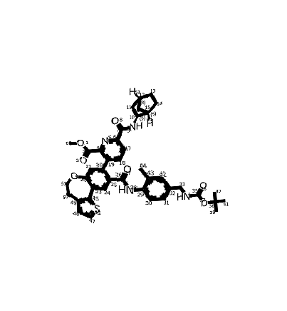 COC(=O)c1nc(C(=O)N[C@H]2C[C@@H]3CC[C@H]2C3)ccc1-c1cc2c(cc1C(=O)Nc1ccc(CNC(=O)OC(C)(C)C)cc1C)-c1sccc1CCO2